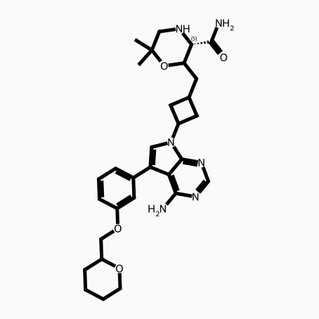 CC1(C)CN[C@H](C(N)=O)C(CC2CC(n3cc(-c4cccc(OCC5CCCCO5)c4)c4c(N)ncnc43)C2)O1